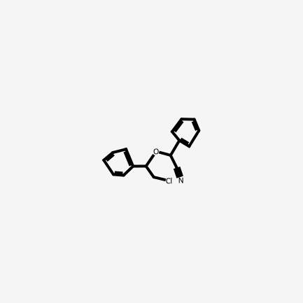 N#CC(OC(CCl)c1ccccc1)c1ccccc1